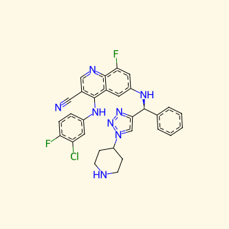 N#Cc1cnc2c(F)cc(N[C@@H](c3ccccc3)c3cn(C4CCNCC4)nn3)cc2c1Nc1ccc(F)c(Cl)c1